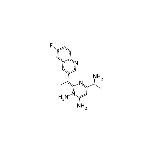 C/C(=C1/N=C(C(C)N)C=C(N)N1N)c1cnc2ccc(F)cc2c1